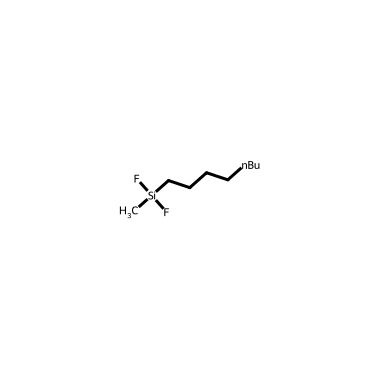 CCCCCCCC[Si](C)(F)F